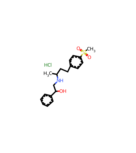 CC(CCc1ccc(S(C)(=O)=O)cc1)NCC(O)c1ccccc1.Cl